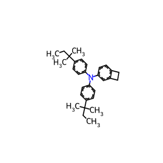 CCC(C)(C)c1ccc(N(c2ccc(C(C)(C)CC)cc2)c2ccc3c(c2)CC3)cc1